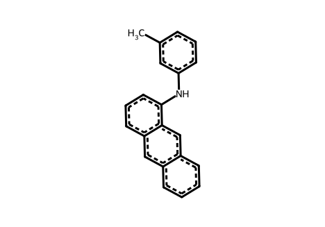 Cc1cccc(Nc2cccc3cc4ccccc4cc23)c1